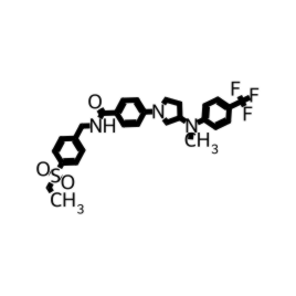 CCS(=O)(=O)c1ccc(CNC(=O)c2ccc(N3CCC(N(C)c4ccc(C(F)(F)F)cc4)C3)cc2)cc1